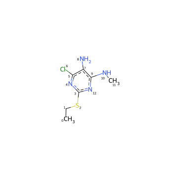 CCSc1nc(Cl)c(N)c(NC)n1